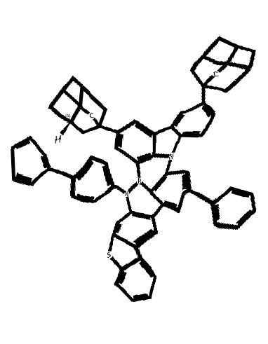 c1ccc(-c2ccc(N3B4c5c(cc(-c6ccccc6)cc5-n5c6ccc(C78CC9CC%10CC(C7)C%109C8)cc6c6cc(C78CC9CC%10C[C@@H](C7)C%109C8)cc4c65)-c4cc5c(cc43)sc3ccccc35)cc2)cc1